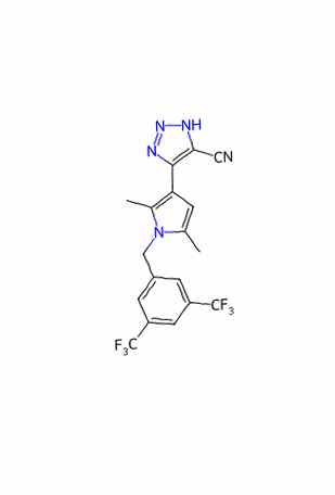 Cc1cc(-c2nn[nH]c2C#N)c(C)n1Cc1cc(C(F)(F)F)cc(C(F)(F)F)c1